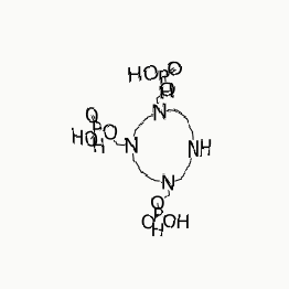 O=[PH](O)OCN1CCCN(CO[PH](=O)O)CCN(CO[PH](=O)O)CCCNCC1